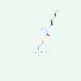 C=CC=CNC(=O)OCC[Si](C)(C)C